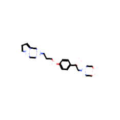 O=C(CN1CCOCC1)c1ccc(OCCCN2CCN3CCC=C3C2)cc1